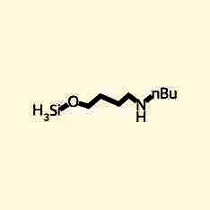 CCCCNCCCCO[SiH3]